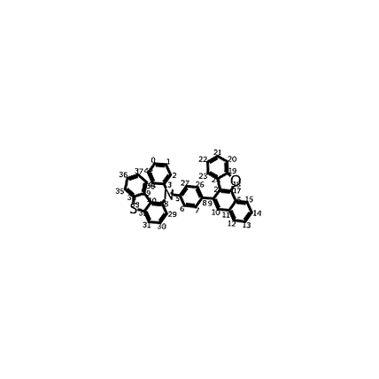 c1ccc(N(c2ccc(-c3cc4ccccc4c4oc5ccccc5c34)cc2)c2cccc3sc4ccccc4c23)cc1